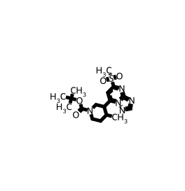 CC1CCN(C(=O)OC(C)(C)C)CC1c1cc(S(C)(=O)=O)nc2ncnn12